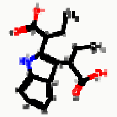 CCC(C(=O)O)c1[nH]c2ccccc2c1C(CC)C(=O)O